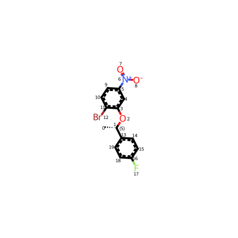 C[C@H](Oc1cc([N+](=O)[O-])ccc1Br)c1ccc(F)cc1